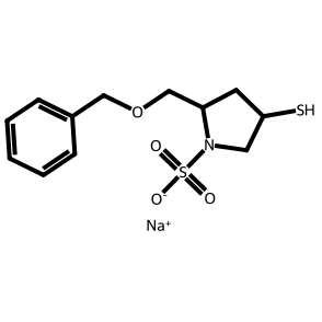 O=S(=O)([O-])N1CC(S)CC1COCc1ccccc1.[Na+]